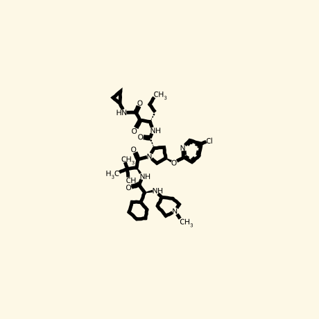 CCC[C@H](NC(=O)[C@@H]1C[C@@H](Oc2ccc(Cl)cn2)CN1C(=O)[C@@H](NC(=O)[C@@H](NC1CCN(C)CC1)C1CCCCC1)C(C)(C)C)C(=O)C(=O)NC1CC1